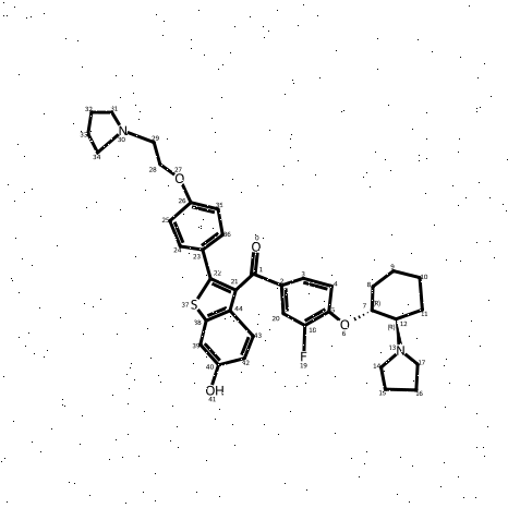 O=C(c1ccc(O[C@@H]2CCCC[C@H]2N2CCCC2)c(F)c1)c1c(-c2ccc(OCCN3CCCC3)cc2)sc2cc(O)ccc12